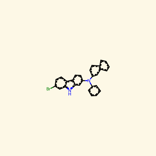 Brc1ccc2c(c1)[nH]c1cc(N(c3ccccc3)c3ccc4ccccc4c3)ccc12